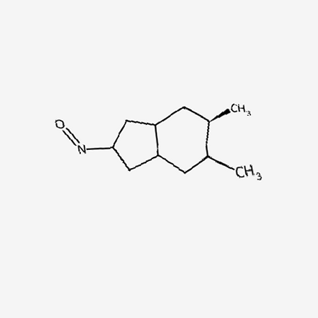 CC1CC2CC(N=O)CC2C[C@H]1C